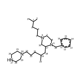 CC(C)CCCN1CCN(Cc2ccccc2)C(CC(C)CCCN2CCNCC2)C1